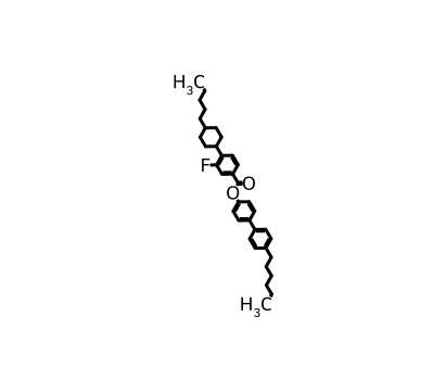 CCCCCCc1ccc(-c2ccc(OC(=O)c3ccc(C4CCC(CCCCC)CC4)c(F)c3)cc2)cc1